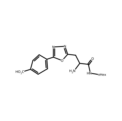 CCCCCCNC(=O)C(N)Cc1nnc(-c2ccc(C(=O)O)cc2)o1